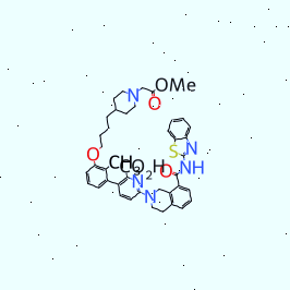 COC(=O)CN1CCC(CCCCOc2cccc(-c3ccc(N4CCc5cccc(C(=O)Nc6nc7ccccc7s6)c5C4)nc3C(=O)O)c2C)CC1